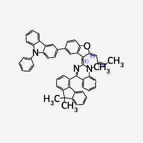 C\C=C/C=c1/oc2ccc(-c3ccc4c(c3)c3ccccc3n4-c3ccccc3)cc2/c1=C1\N=C(c2cccc3c2-c2ccccc2C3(C)C)c2ccccc2N1C